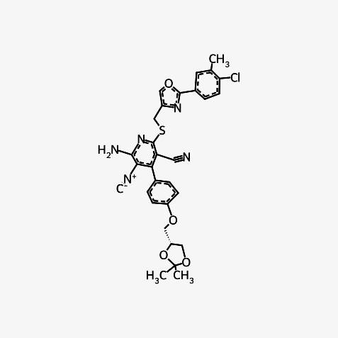 [C-]#[N+]c1c(N)nc(SCc2coc(-c3ccc(Cl)c(C)c3)n2)c(C#N)c1-c1ccc(OC[C@@H]2COC(C)(C)O2)cc1